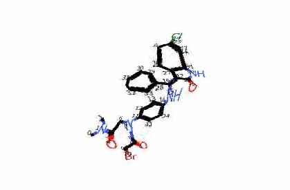 CN(C)C(=O)CN(C(=O)CBr)c1ccc(N/C(=C2\C(=O)Nc3cc(Cl)ccc32)c2ccccc2)cc1